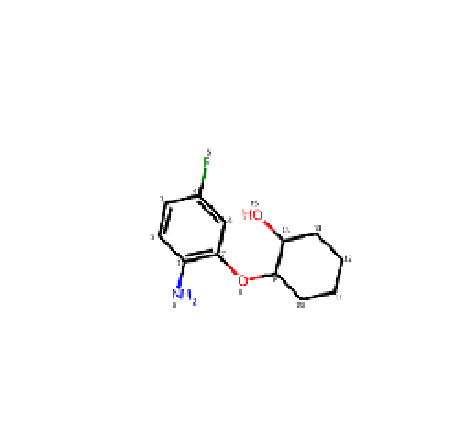 Nc1ccc(F)cc1OC1CCCCC1O